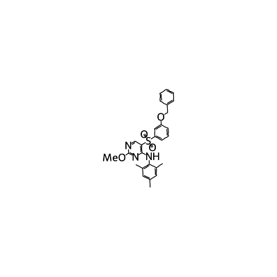 COc1ncc(S(=O)(=O)c2cccc(OCc3ccccc3)c2)c(Nc2c(C)cc(C)cc2C)n1